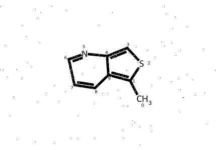 Cc1scc2ncccc12